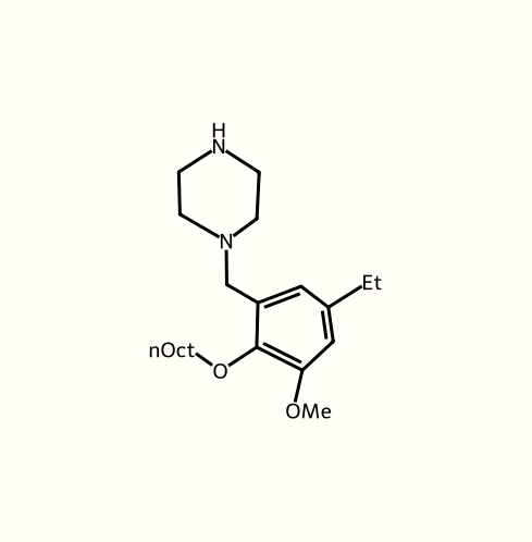 CCCCCCCCOc1c(CN2CCNCC2)cc(CC)cc1OC